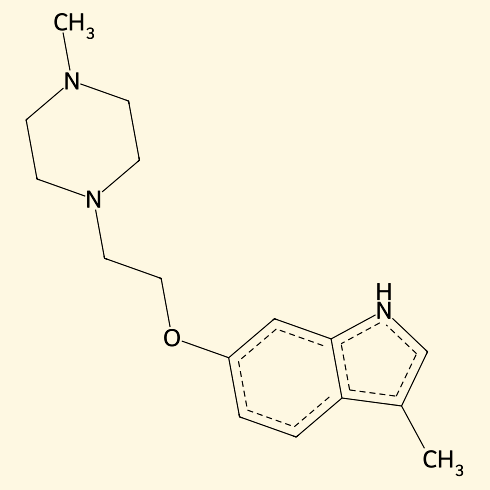 Cc1c[nH]c2cc(OCCN3CCN(C)CC3)ccc12